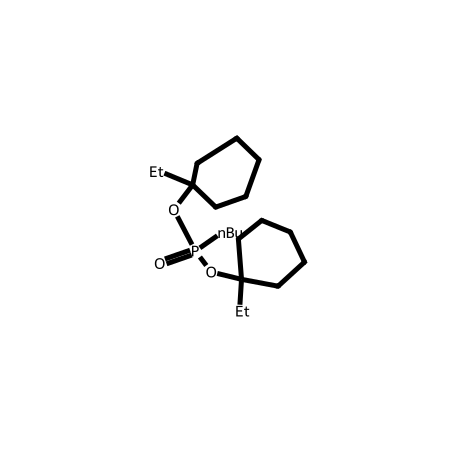 CCCCP(=O)(OC1(CC)CCCCC1)OC1(CC)CCCCC1